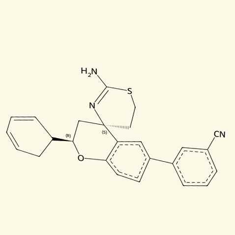 N#Cc1cccc(-c2ccc3c(c2)[C@@]2(CCSC(N)=N2)C[C@H](C2C=CC=CC2)O3)c1